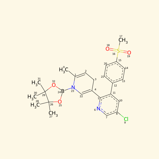 CC1=CCC(c2ncc(Cl)cc2-c2ccc(S(C)(=O)=O)cc2)=CN1B1OC(C)(C)C(C)(C)O1